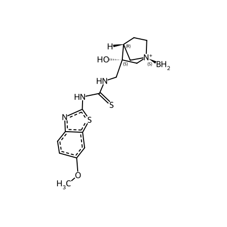 B[N@+]12CC[C@H](C1)[C@](O)(CNC(=S)Nc1nc3ccc(OC)cc3s1)C2